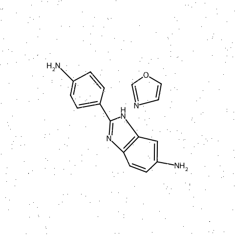 Nc1ccc(-c2nc3ccc(N)cc3[nH]2)cc1.c1cocn1